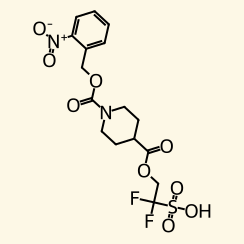 O=C(OCC(F)(F)S(=O)(=O)O)C1CCN(C(=O)OCc2ccccc2[N+](=O)[O-])CC1